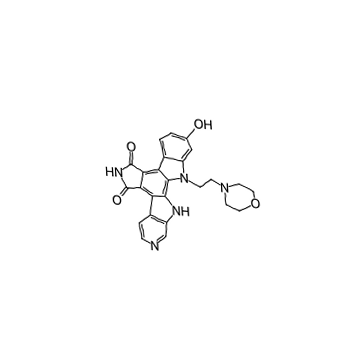 O=C1NC(=O)c2c1c1c3ccncc3[nH]c1c1c2c2ccc(O)cc2n1CCN1CCOCC1